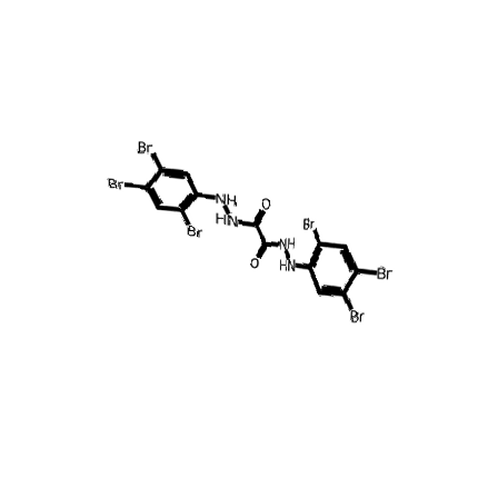 O=C(NNc1cc(Br)c(Br)cc1Br)C(=O)NNc1cc(Br)c(Br)cc1Br